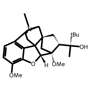 COc1ccc2c3c1O[C@@H]1C34CCN(C)C(C2)[C@@]42C[C@H]([C@](C)(O)C(C)(C)C)[C@]1(OC)C2